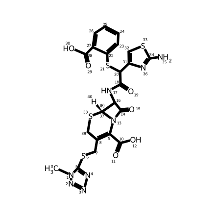 Cn1nnnc1SCC1=C(C(=O)O)N2C(=O)C(NC(=O)C(Sc3ccccc3C(=O)O)c3csc(N)n3)[C@H]2SC1